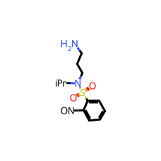 CC(C)N(CCCN)S(=O)(=O)c1ccccc1N=O